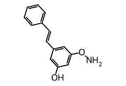 NOc1cc(O)cc(/C=C/c2ccccc2)c1